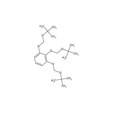 CC(C)(C)OCOc1cccc(OCOC(C)(C)C)c1OCOC(C)(C)C